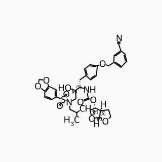 CC(C)CN(C[C@@H](O)[C@H](Cc1ccc(OCc2cccc(C#N)c2)cc1)NC(=O)O[C@H]1CO[C@H]2OCC[C@H]21)S(=O)(=O)c1ccc2c(c1)OCO2